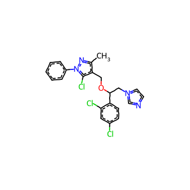 Cc1nn(-c2ccccc2)c(Cl)c1COC(Cn1ccnc1)c1ccc(Cl)cc1Cl